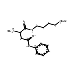 CCCCCCCCCCCCCCOC(=O)C(CC(=O)Oc1ccccc1)S(=O)(=O)O